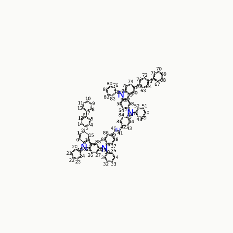 C1=CC(c2ccc(-c3ccccc3)cc2)Cc2c1n(-c1ccccc1)c1ccc(N(c3ccccc3)c3ccc(/C=C/c4ccc(N(c5ccccc5)c5ccc6c(c5)c5cc(-c7ccc(-c8ccccc8)cc7)ccc5n6-c5ccccc5)cc4)cc3)cc21